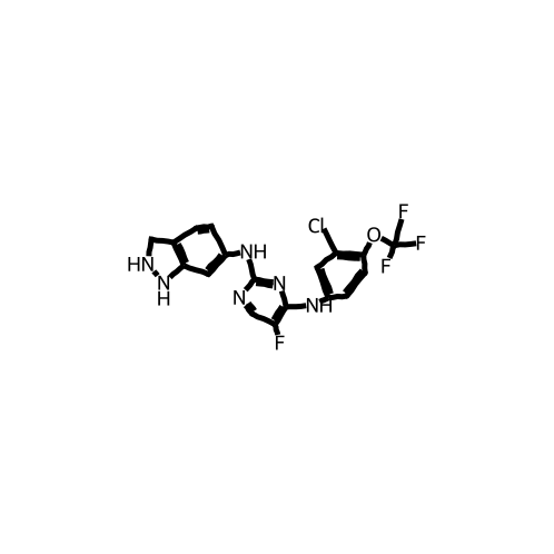 Fc1cnc(Nc2ccc3c(c2)NNC3)nc1Nc1ccc(OC(F)(F)F)c(Cl)c1